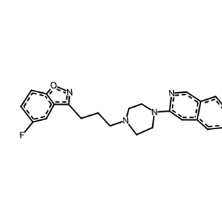 Fc1ccc2onc(CCCN3CCN(c4cc5ccccc5cn4)CC3)c2c1